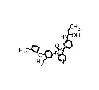 C=CC(O)Nc1cccc(-n2c(=O)n(-c3ccc(Oc4cccc(C)c4)c(C)c3)c3cnccc32)c1